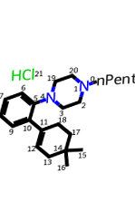 CCCCCN1CCN(c2ccccc2C2=CCC(C)(C)CC2)CC1.Cl